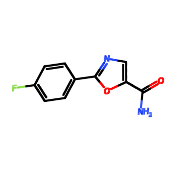 NC(=O)c1cnc(-c2ccc(F)cc2)o1